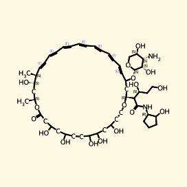 C[C@H]1C[C@H](O)[C@@H](C)/C=C/C=C/C=C/C=C/C=C/C=C/C=C/C(O[C@@H]2OC[C@@H](O)[C@H](N)[C@@H]2O)C[C@@H](C(C(=O)N[C@@H]2CCCC2O)[C@@H](O)CCO)OCCC(O)CC(O)C(O)CCC(O)CC(O)CC(=O)O1